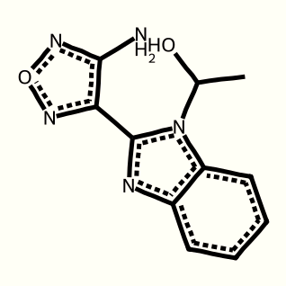 CC(O)n1c(-c2nonc2N)nc2ccccc21